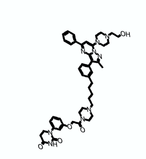 Cc1nn2c(N3CCN(CCO)CC3)cc(-c3ccccc3)nc2c1-c1cccc(CCCCCN2CCN(C(=O)COc3cccc(N4CCC(=O)NC4=O)c3)CC2)c1